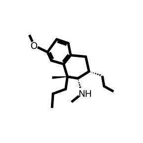 CCC[C@H]1Cc2ccc(OC)cc2[C@@](C)(CCC)[C@H]1NC